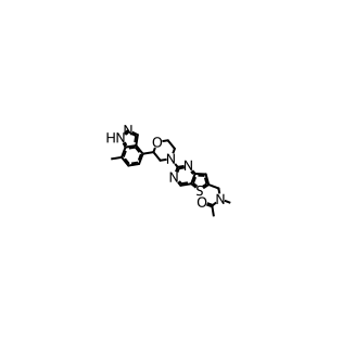 CC(=O)N(C)Cc1cc2nc(N3CCOC(c4ccc(C)c5[nH]ncc45)C3)ncc2s1